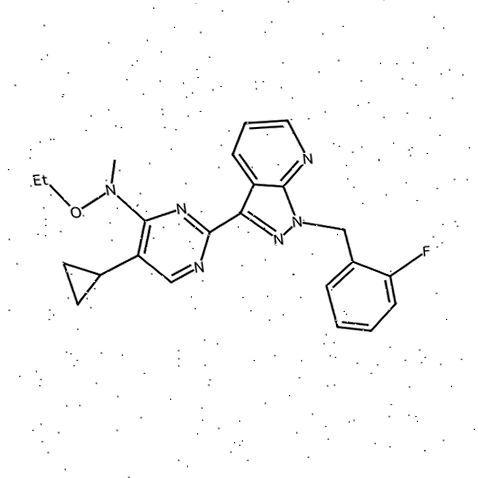 CCON(C)c1nc(-c2nn(Cc3ccccc3F)c3ncccc23)ncc1C1CC1